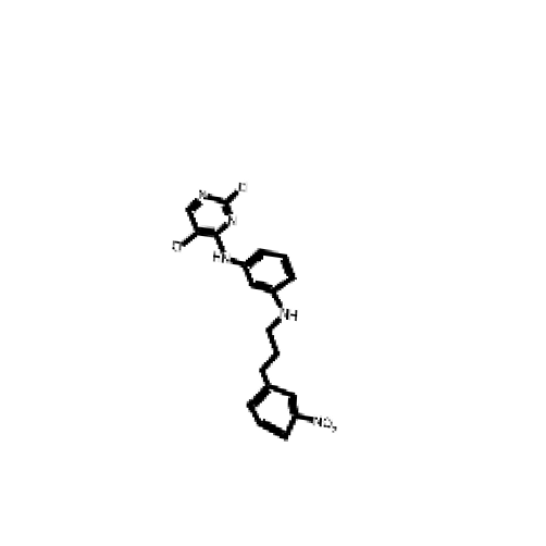 O=[N+]([O-])c1cccc(CCCNc2cccc(Nc3nc(Cl)ncc3Cl)c2)c1